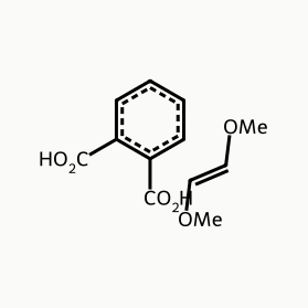 COC=COC.O=C(O)c1ccccc1C(=O)O